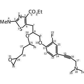 CCOC(=O)c1nc(NC)sc1CC(COc1ccc(C#CCN(C)C)cc1F)OC(C)CCC1CO1